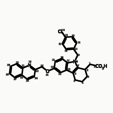 O=C(O)CC1CCCc2c1n(Cc1ccc(Cl)cc1)c1ccc(OCc3ccc4ccccc4n3)cc21